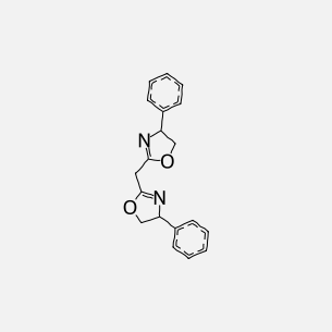 c1ccc(C2COC(CC3=NC(c4ccccc4)CO3)=N2)cc1